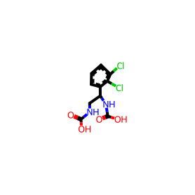 O=C(O)NCC(NC(=O)O)c1cccc(Cl)c1Cl